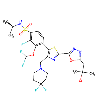 C[C@H](NS(=O)(=O)c1ccc(-c2sc(-c3nnc(CC(C)(C)O)o3)nc2CN2CCC(F)(F)CC2)c(OC(F)F)c1F)C(F)(F)F